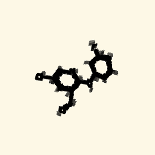 O=Nc1cc(Cl)cnc1Oc1cccc(F)c1